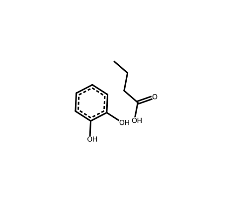 CCCC(=O)O.Oc1ccccc1O